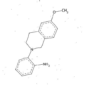 COc1ccc2c(c1)CCN(c1ccccc1N)C2